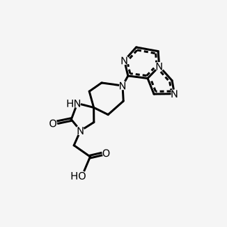 O=C(O)CN1CC2(CCN(c3nccn4cncc34)CC2)NC1=O